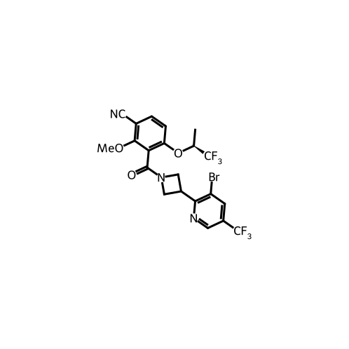 COc1c(C#N)ccc(O[C@@H](C)C(F)(F)F)c1C(=O)N1CC(c2ncc(C(F)(F)F)cc2Br)C1